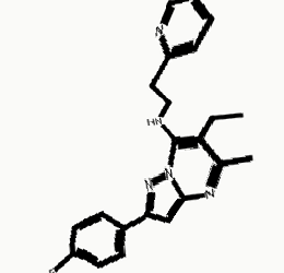 CCc1c(C)nc2cc(-c3ccc(F)cc3)nn2c1NCCc1ccccn1